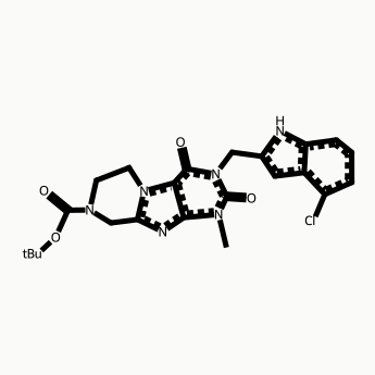 Cn1c(=O)n(Cc2cc3c(Cl)cccc3[nH]2)c(=O)c2c1nc1n2CCN(C(=O)OC(C)(C)C)C1